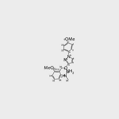 COc1ccc(-n2ccc(OCc3c(OC)cccc3N(C)N)n2)cc1